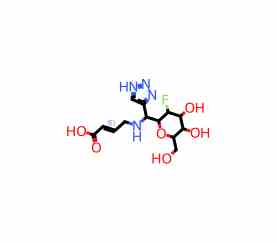 O=C(O)/C=C/CNC(c1c[nH]nn1)C1OC(CO)C(O)C(O)C1F